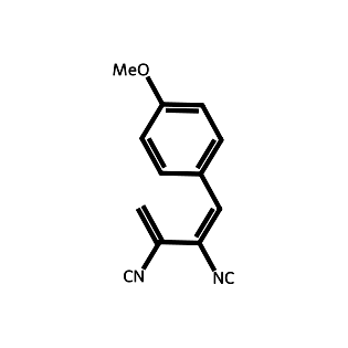 [C-]#[N+]C(=C)C(=Cc1ccc(OC)cc1)[N+]#[C-]